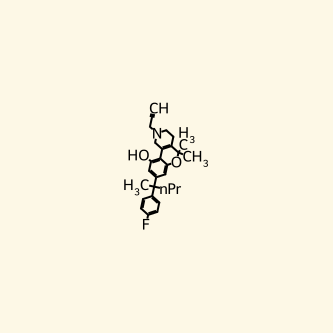 C#CCN1CCC2=C(C1)c1c(O)cc(C(C)(CCC)c3ccc(F)cc3)cc1OC2(C)C